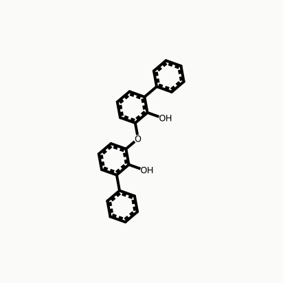 Oc1c(Oc2cccc(-c3ccccc3)c2O)cccc1-c1ccccc1